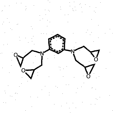 c1cc(N(CC2CO2)CC2CO2)cc(N(CC2CO2)CC2CO2)c1